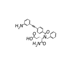 NC(=O)[C@H](CCC(=O)O)N(Cc1ccccc1)C(=O)c1ccc(C#Cc2cccc(N)c2)cc1